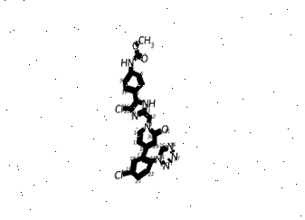 COC(=O)Nc1ccc(-c2[nH]c(Cn3ccc(-c4cc(Cl)ccc4-n4cnnn4)cc3=O)nc2Cl)cc1